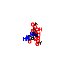 CC(C)C(=O)OCOc1cc2c(=O)[nH]ncc3nn(C4OC(COC(=O)C(C)C)C(O)C4(C)O)c(N=C=O)c1c32